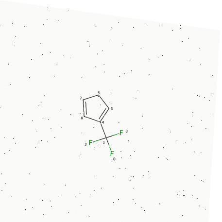 FC(F)(F)C1=C[CH]C=C1